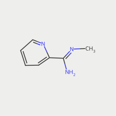 CN=C(N)c1ccccn1